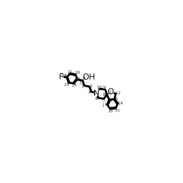 OC(CCCN1CCC2(CC1)OCc1ccccc12)c1ccc(F)cc1